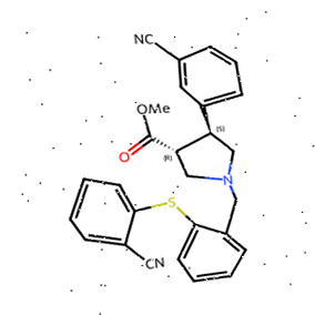 COC(=O)[C@H]1CN(Cc2ccccc2Sc2ccccc2C#N)C[C@@H]1c1cccc(C#N)c1